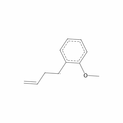 C=CC[CH]c1ccccc1OC